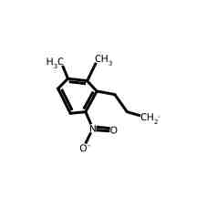 [CH2]CCc1c([N+](=O)[O-])ccc(C)c1C